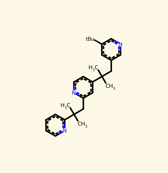 CC(C)(C)c1cncc(CC(C)(C)c2ccnc(CC(C)(C)c3ccccn3)c2)c1